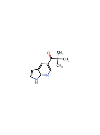 CC(C)(C)C(=O)c1cnc2[nH]ccc2c1